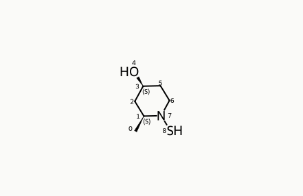 C[C@H]1C[C@@H](O)CCN1S